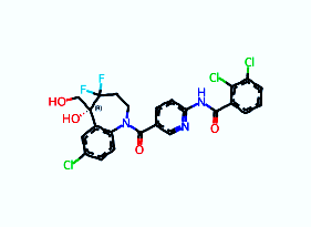 O=C(Nc1ccc(C(=O)N2CCC(F)(F)[C@](O)(CO)c3cc(Cl)ccc32)cn1)c1cccc(Cl)c1Cl